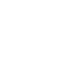 CO/C=C(\C(=O)OC)c1ccccc1CC(=O)c1ccccc1